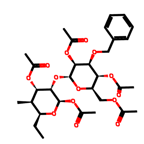 CC[C@@H]1O[C@H](OC(C)=O)[C@@H](O[C@H]2O[C@H](COC(C)=O)[C@@H](OC(C)=O)[C@H](OCc3ccccc3)[C@@H]2OC(C)=O)[C@@H](OC(C)=O)[C@@H]1C